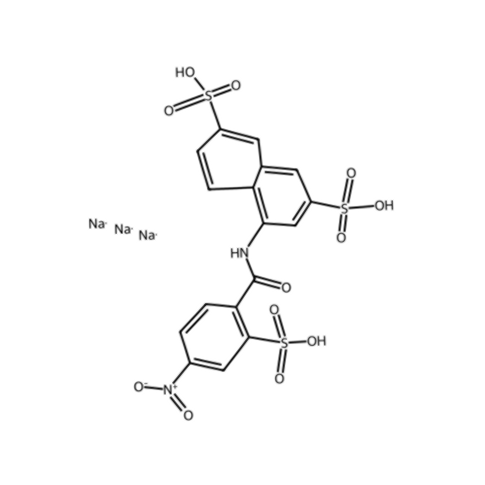 O=C(Nc1cc(S(=O)(=O)O)cc2cc(S(=O)(=O)O)ccc12)c1ccc([N+](=O)[O-])cc1S(=O)(=O)O.[Na].[Na].[Na]